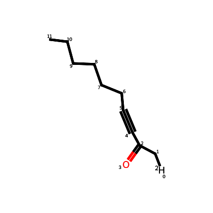 [2H]CC(=O)C#CCCCCCC